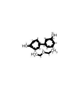 CCOCC.Oc1ccc(-c2cccc(O)c2)cc1